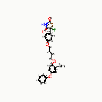 CCCc1cc(Oc2ccccc2)ccc1OCCCCOc1ccc(C2(F)SC(=O)NC2=O)cc1